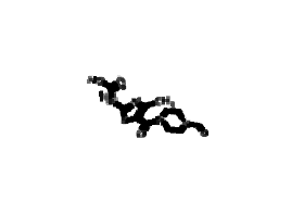 Cc1nc(NC(=O)O)sc1C(=O)N1CCN(C=O)CC1